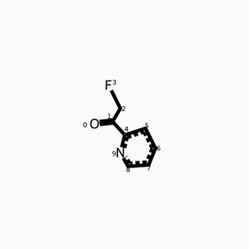 O=C(CF)c1ccccn1